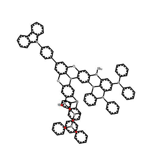 CC(C)(C)N1c2cc3c(cc2B2c4ccccc4N(c4ccccc4)c4cc(N(c5ccccc5)c5ccccc5)cc1c42)B1c2cc4c(cc2Oc2cc(-c5ccc(-n6c7ccccc7c7ccccc76)cc5)cc(c21)O3)N(C(C)(C)C)c1cc(N(c2ccccc2)c2ccccc2)cc2c1B4c1ccccc1N2c1ccccc1